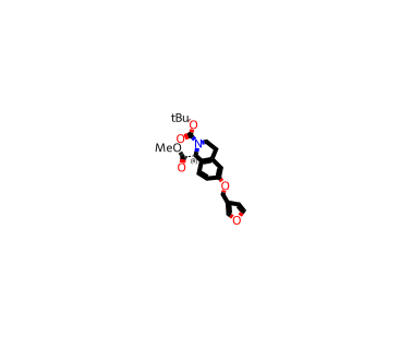 COC(=O)[C@H]1c2ccc(OCc3ccoc3)cc2CCN1C(=O)OC(C)(C)C